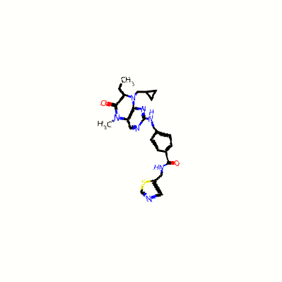 CCC1C(=O)N(C)c2cnc(Nc3ccc(C(=O)NCc4cncs4)cc3)nc2N1CC1CC1